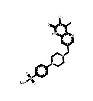 CNS(=O)(=O)c1ccc(N2CCN(Cc3cnc4c(C)c(C(F)(F)F)c(=O)[nH]c4c3)CC2)cc1